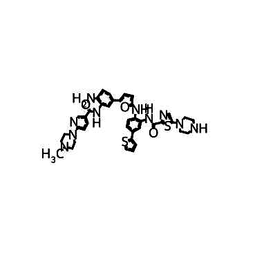 CN1CCN(c2ccc(C(=O)Nc3cc(-c4ccc(Nc5ccc(-c6cccs6)cc5NC(=O)c5ncc(N6CCNCC6)s5)o4)ccc3N)cn2)CC1